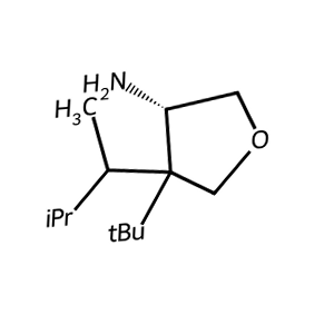 CC(C)C(C)C1(C(C)(C)C)COC[C@H]1N